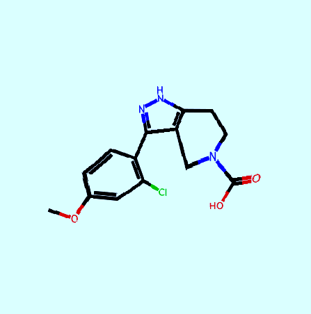 COc1ccc(-c2n[nH]c3c2CN(C(=O)O)CC3)c(Cl)c1